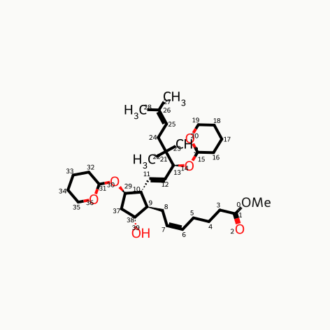 COC(=O)CCC/C=C\C[C@@H]1[C@@H](/C=C/[C@H](OC2CCCCO2)C(C)(C)CC=C(C)C)[C@H](OC2CCCCO2)C[C@H]1O